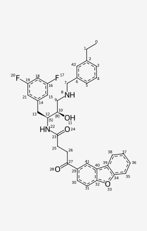 CCc1cccc(CNC[C@@H](O)[C@H](Cc2cc(F)cc(F)c2)NC(=O)CCC(=O)c2ccc3oc4ccccc4c3c2)c1